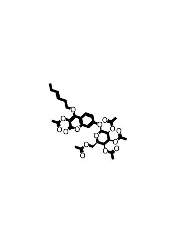 CCC=CCCOc1c(OC(C)=O)c(=O)oc2cc(O[C@@H]3O[C@H](COC(C)=O)[C@H](OC(C)=O)[C@H](OC(C)=O)[C@H]3OC(C)=O)ccc12